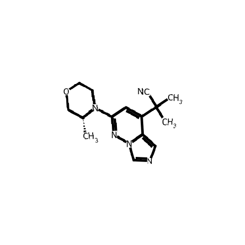 C[C@@H]1COCCN1c1cc(C(C)(C)C#N)c2cncn2n1